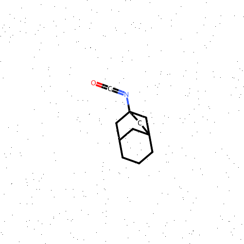 O=C=NC12CC3CCCC(C3)(C1)C2